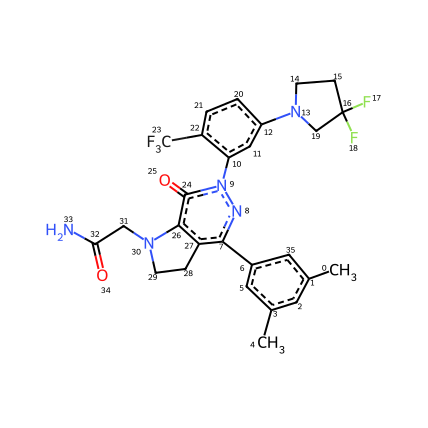 Cc1cc(C)cc(-c2nn(-c3cc(N4CCC(F)(F)C4)ccc3C(F)(F)F)c(=O)c3c2CCN3CC(N)=O)c1